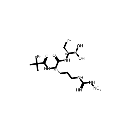 CCCC(C)(C)C(=O)N[C@@H](CCCNC(=N)N[N+](=O)[O-])C(=O)N[C@@H](CC(C)C)B(O)O